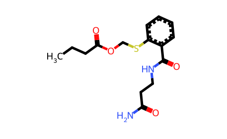 CCCC(=O)OCSc1ccccc1C(=O)NCCC(N)=O